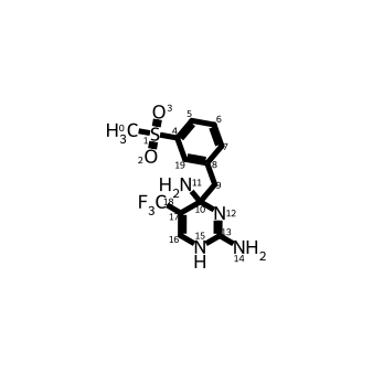 CS(=O)(=O)c1cccc(CC2(N)N=C(N)NC=C2C(F)(F)F)c1